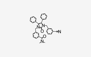 CN(C)C(=O)c1cccc(Cn2c(-c3ccccc3)c(-c3ccccc3)n(Cc3cccc(C#N)c3)c2=O)c1